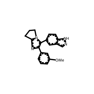 COc1cccc(-c2nc3n(c2-c2ccc4[nH]ncc4c2)CCC3)c1